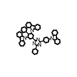 c1ccc(-c2nc(-c3ccc(-n4c5ccccc5c5ccccc54)cc3)nc(-c3cc(-n4c5ccccc5c5ccccc54)c(-c4ccccc4)c(-n4c5ccccc5c5ccccc54)c3)n2)cc1